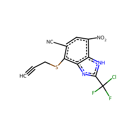 C#CCSc1c(C#N)cc([N+](=O)[O-])c2[nH]c(C(F)(F)Cl)nc12